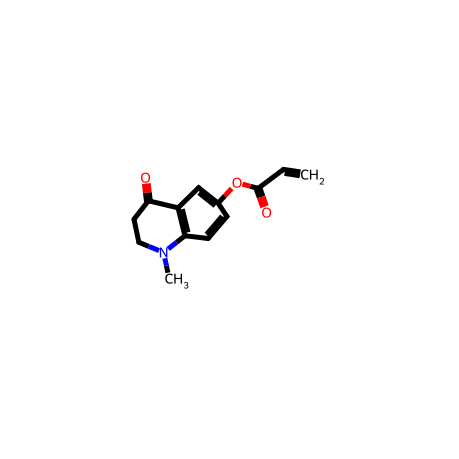 C=CC(=O)Oc1ccc2c(c1)C(=O)CCN2C